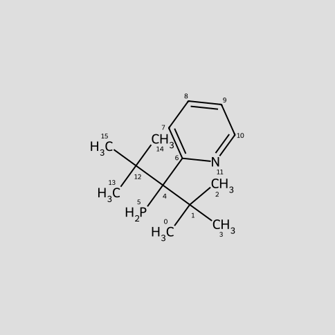 CC(C)(C)C(P)(c1ccccn1)C(C)(C)C